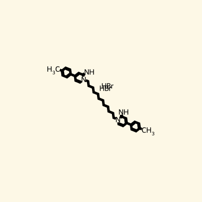 Br.Br.Cc1ccc(-c2ccn(CCCCCCCCCCCCn3ccc(-c4ccc(C)cc4)cc3=N)c(=N)c2)cc1